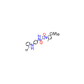 COc1ccc(C)c(N2CC(C(=O)Nc3ccc(Nc4ccccc4CC4CC4)cc3)CC2=O)c1